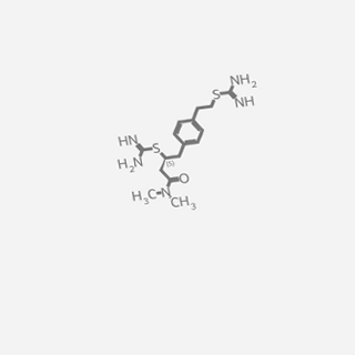 CN(C)C(=O)C[C@H](Cc1ccc(CCSC(=N)N)cc1)SC(=N)N